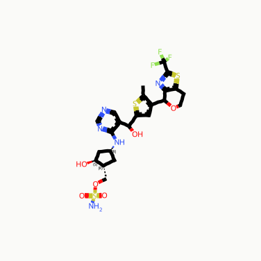 Cc1sc(C(O)c2cncnc2N[C@@H]2C[C@H](COS(N)(=O)=O)[C@@H](O)C2)cc1C1OCCc2sc(C(F)(F)F)nc21